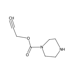 C#CCOC(=O)N1CCNCC1